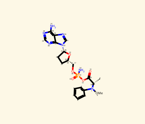 CON(c1ccccc1)[C@@H](C)C(=O)OP(N)(=O)OC[C@@H]1CC[C@H](n2cnc3c(N)ncnc32)O1